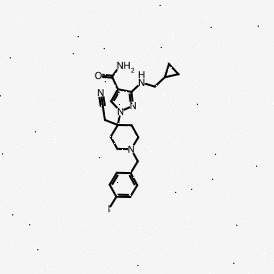 N#CCC1(n2cc(C(N)=O)c(NCC3CC3)n2)CCN(Cc2ccc(I)cc2)CC1